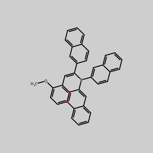 COc1ccccc1/C=C(\B(c1ccc2ccccc2c1)c1ccc2ccccc2c1)c1ccc2ccccc2c1